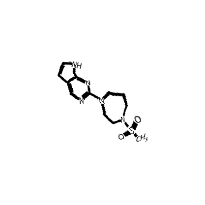 CS(=O)(=O)N1CCCN(c2ncc3cc[nH]c3n2)CC1